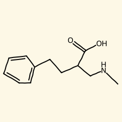 CNCC(CCc1ccccc1)C(=O)O